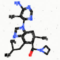 Cc1cc2c(ncn2-c2ncnc(N)c2C)c(CC(C)C)c1C(=O)N1CCC1